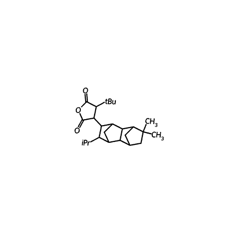 CC(C)C1C2CC(C1C1C(=O)OC(=O)C1C(C)(C)C)C1C2C2CC1C(C)(C)C2